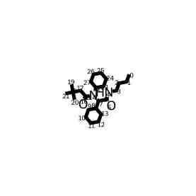 CCCCNC(=O)C(C1CCCCC1)N(C(=O)CC(C)(C)C)C1CCCCC1